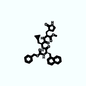 COC(=O)[C@H](C[C@@H]1CCNC1=O)NC(=O)[C@H](CC1CC1)NC(=O)[C@H](Cc1cccc2ccccc12)NC(=O)OCc1ccccc1